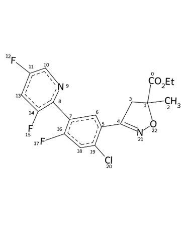 CCOC(=O)C1(C)CC(c2cc(-c3ncc(F)cc3F)c(F)cc2Cl)=NO1